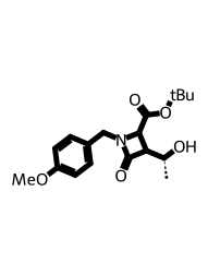 COc1ccc(CN2C(=O)C([C@@H](C)O)C2C(=O)OC(C)(C)C)cc1